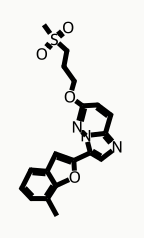 Cc1cccc2cc(-c3cnc4ccc(OCCCS(C)(=O)=O)nn34)oc12